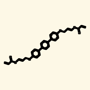 C=CC(=O)O/C=C/COc1ccc(-c2ccc(-c3ccc(OC/C=C/OC(=O)C=C)cc3)cc2)cc1